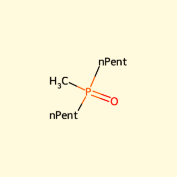 CCCCCP(C)(=O)CCCCC